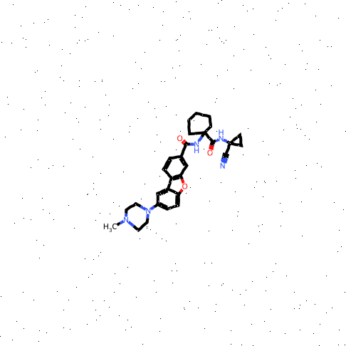 CN1CCN(c2ccc3oc4cc(C(=O)NC5(C(=O)NC6(C#N)CC6)CCCCC5)ccc4c3c2)CC1